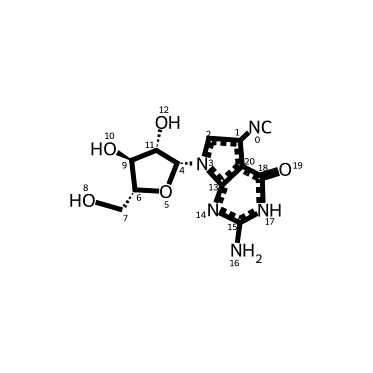 [C-]#[N+]c1cn([C@@H]2O[C@H](CO)[C@@H](O)[C@@H]2O)c2nc(N)[nH]c(=O)c12